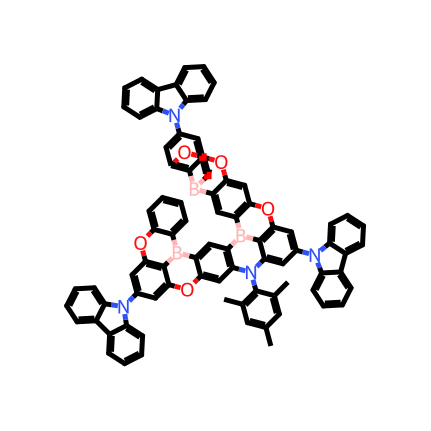 Cc1cc(C)c(N2c3cc4c(cc3B3c5cc6c(cc5Oc5cc(-n7c8ccccc8c8ccccc87)cc2c53)Oc2cc(-n3c5ccccc5c5ccccc53)cc3c2B6c2ccccc2O3)B2c3ccccc3Oc3cc(-n5c6ccccc6c6ccccc65)cc(c32)O4)c(C)c1